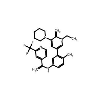 C=C(Nc1ccc(C)c(C2=CN(CC)C(=C)C(N3CCCCC3)=C2)c1)c1ccnc(C(F)(F)F)c1